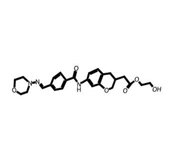 O=C(CC1COc2cc(NC(=O)c3ccc(/C=N/N4CCOCC4)cc3)ccc2C1)OCCO